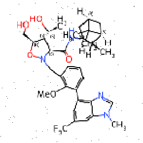 COc1c(CN2O[C@@H](CO)[C@H]([C@H](C)O)[C@H]2C(=O)N[C@H]2C[C@H]3C[C@@H]([C@@H]2C)C3(C)C)cccc1-c1cc(C(F)(F)F)cc2c1ncn2C